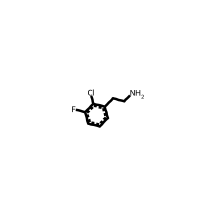 NCCc1cccc(F)c1Cl